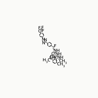 CCNC(NC(=O)NCC(F)c1ccc(-c2ncn(-c3ccc(OC(F)(F)F)cc3)n2)cc1)N(C=O)c1cc(C)ccc1C(C)C